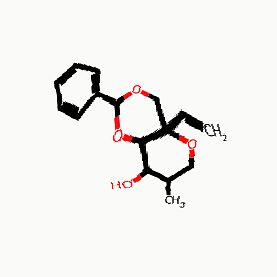 C=CC12COC(c3ccccc3)OC1C(O)C(C)CO2